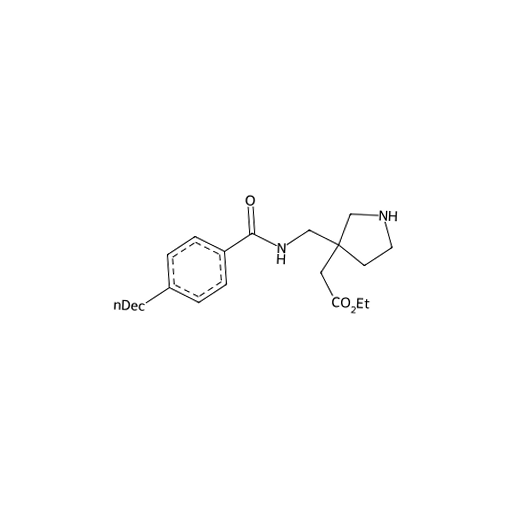 CCCCCCCCCCc1ccc(C(=O)NCC2(CC(=O)OCC)CCNC2)cc1